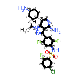 CC(C)n1nc(-c2cc(F)c(NS(=O)(=O)c3cc(Cl)ccc3F)cc2F)c2c(N)ncc([C@H]3CC[C@H](N)CC3)c21